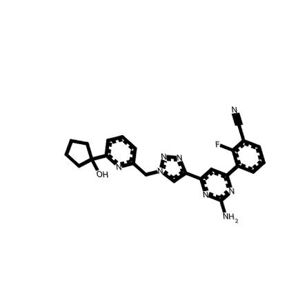 N#Cc1cccc(-c2cc(-c3cn(Cc4cccc(C5(O)CCCC5)n4)nn3)nc(N)n2)c1F